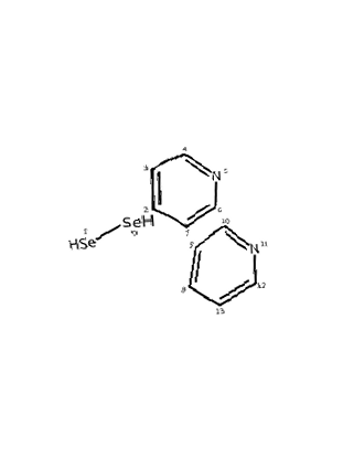 [SeH][SeH].c1ccncc1.c1ccncc1